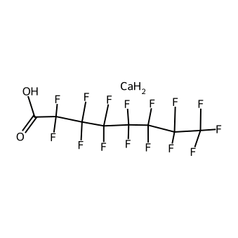 O=C(O)C(F)(F)C(F)(F)C(F)(F)C(F)(F)C(F)(F)C(F)(F)C(F)(F)F.[CaH2]